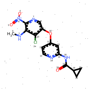 CNc1c([N+](=O)[O-])ncc(Oc2ccnc(NC(=O)C3CC3)c2)c1Cl